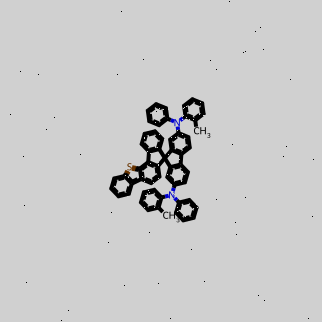 Cc1ccccc1N(c1ccccc1)c1ccc2c(c1)C1(c3cc(N(c4ccccc4)c4ccccc4C)ccc3-2)c2ccccc2-c2c1ccc1c2sc2ccccc21